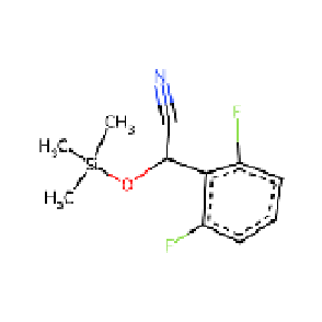 C[Si](C)(C)OC(C#N)c1c(F)cccc1F